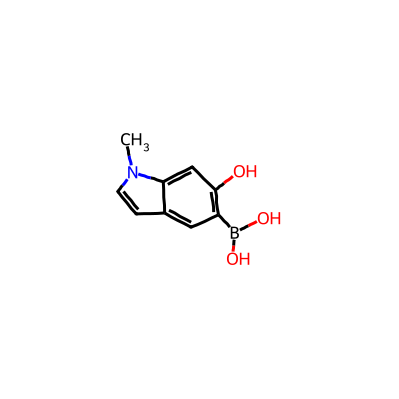 Cn1ccc2cc(B(O)O)c(O)cc21